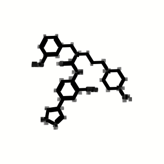 COc1cccc(CN(CCCN2CCN(C)CC2)C(=O)Nc2ccc(-c3cn[nH]c3)cc2OC)c1